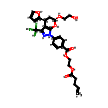 C=CCCC(=O)OCCOC(=O)c1ccc(-n2nc(C(F)(F)F)c3c2O[C@@H](OCCO)C[C@@H]3c2ccco2)cc1